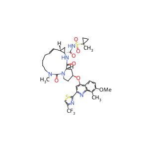 COc1ccc2c(O[C@H]3CCN4C(=O)N(C)CCCC/C=C/[C@@H]5C[C@@]5(C(=O)NS(=O)(=O)C5(C)CC5)NC(=O)[C@@H]4C3)cc(-c3nc(C(F)(F)F)cs3)nc2c1C